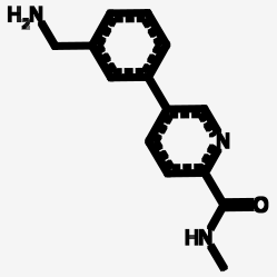 CNC(=O)c1ccc(-c2cccc(CN)c2)cn1